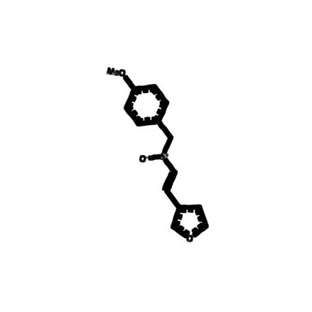 COc1ccc(C[S+]([O-])/C=C/c2ccoc2)cc1